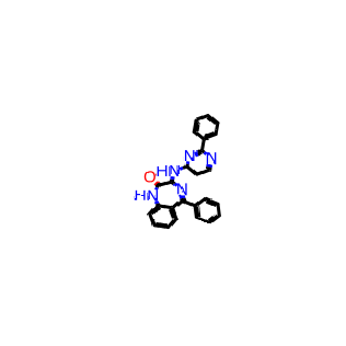 O=C1Nc2ccccc2C(c2ccccc2)=NC1NC1CC=NC(c2ccccc2)=N1